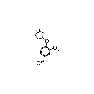 COc1cc(C=O)ccc1O[C@H]1CCOC1